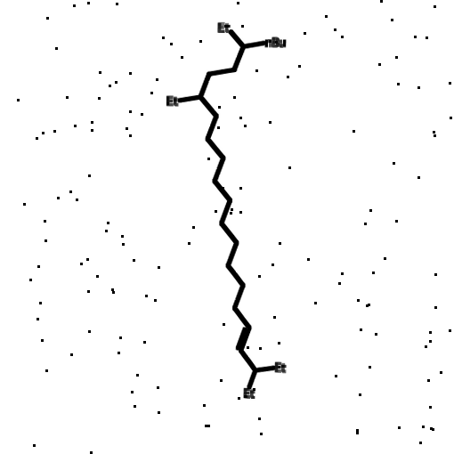 [CH2]CCCC(CC)CCC(CC)CCCCCCCCCCC=CC(C[CH2])CC